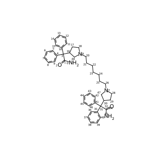 NC(=O)C(c1ccccc1)(c1ccccc1)C1CCN(CCCCCCCN2CCC(C(C(N)=O)(c3ccccc3)c3ccccc3)C2)C1